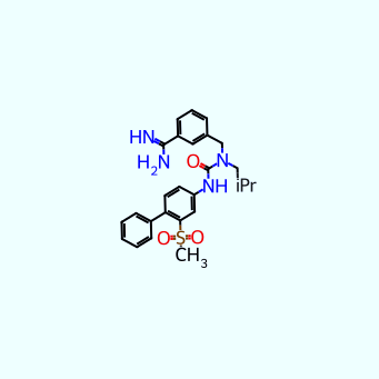 CC(C)CN(Cc1cccc(C(=N)N)c1)C(=O)Nc1ccc(-c2ccccc2)c(S(C)(=O)=O)c1